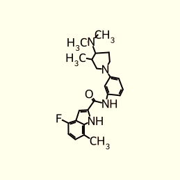 Cc1ccc(F)c2cc(C(=O)Nc3cccc(N4CCC(N(C)C)C(C)C4)c3)[nH]c12